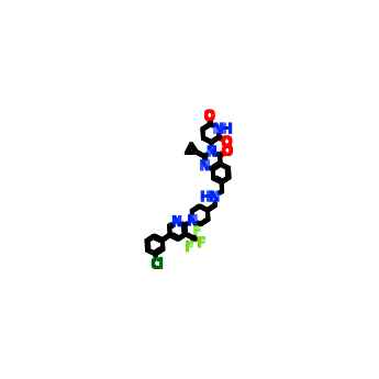 O=C1CCC(n2c(C3CC3)nc3cc(CNCC4CCN(c5ncc(-c6cccc(Cl)c6)cc5C(F)(F)F)CC4)ccc3c2=O)C(=O)N1